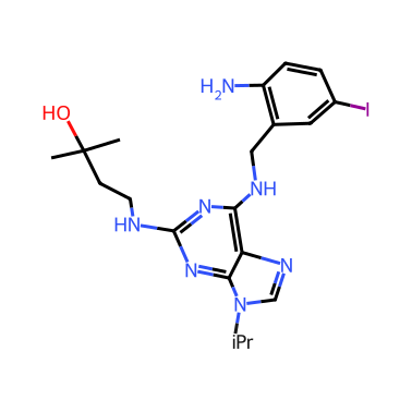 CC(C)n1cnc2c(NCc3cc(I)ccc3N)nc(NCCC(C)(C)O)nc21